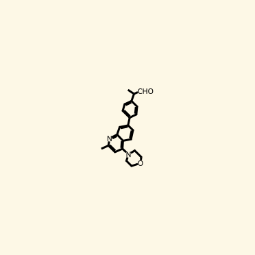 Cc1cc(N2CCOCC2)c2ccc(-c3ccc(C(C)C=O)cc3)cc2n1